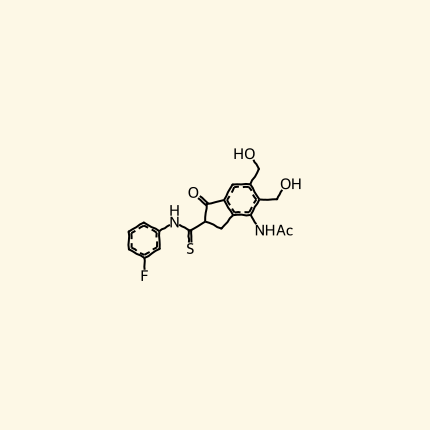 CC(=O)Nc1c(CO)c(CO)cc2c1CC(C(=S)Nc1cccc(F)c1)C2=O